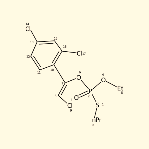 CCCSP(=O)(OCC)OC(=CCl)c1ccc(Cl)cc1Cl